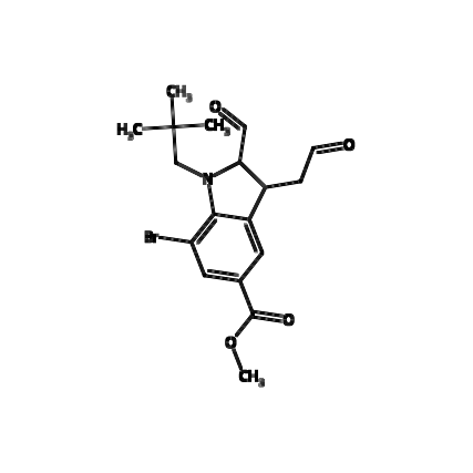 COC(=O)c1cc(Br)c2c(c1)C(CC=O)C(C=O)N2CC(C)(C)C